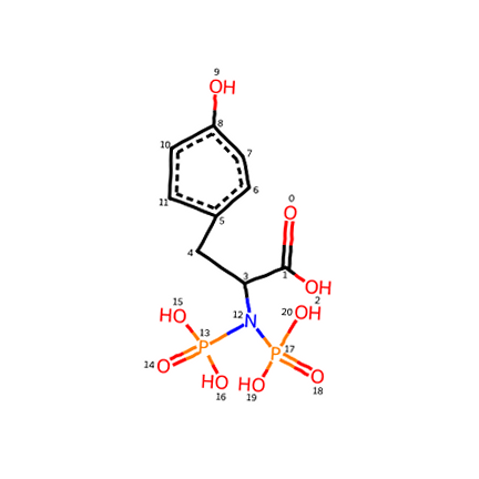 O=C(O)C(Cc1ccc(O)cc1)N(P(=O)(O)O)P(=O)(O)O